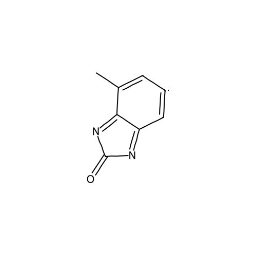 Cc1c[c]cc2c1=NC(=O)N=2